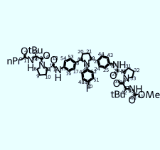 CCCC(=O)N[C@H](C(=O)N1CCC[C@H]1C(=O)Nc1ccc([C@H]2CC[C@H](c3ccc(NC(=O)[C@@H]4CCCN4C(=O)[C@@H](NC(=O)OC)C(C)(C)C)cc3)N2c2ccc(F)cc2)cc1)C(C)(C)C